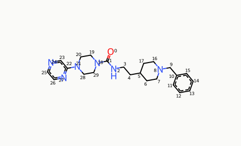 O=C(NCCC1CCN(Cc2ccccc2)CC1)N1CCN(c2cnccn2)CC1